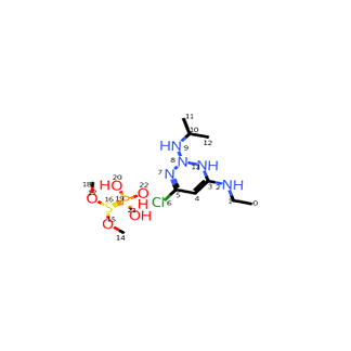 CCNC1=CC(Cl)=NN(NC(C)C)N1.COS(OC)=P(O)(O)O